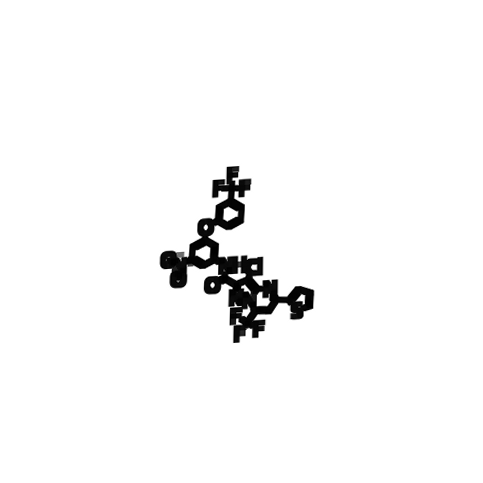 O=C(Nc1cc(Oc2cccc(C(F)(F)F)c2)cc([N+](=O)[O-])c1)c1nn2c(C(F)(F)F)cc(-c3cccs3)nc2c1Cl